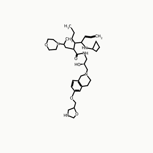 C=C=CC(NC1CCC1)C(CCC)C(CC(C)N1CCOCC1)C(=O)NC[C@H](O)CN1CCc2cc(OCC3CNCO3)ccc2C1